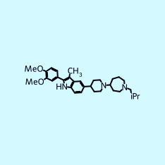 COc1ccc(-c2[nH]c3ccc(C4CCN(C5CCCN(CC(C)C)CC5)CC4)cc3c2C)cc1OC